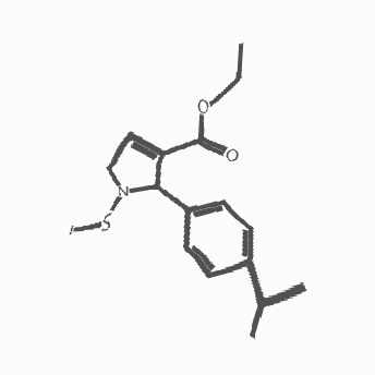 CCOC(=O)C1=CCN(SI)C1c1ccc(C(C)C)cc1